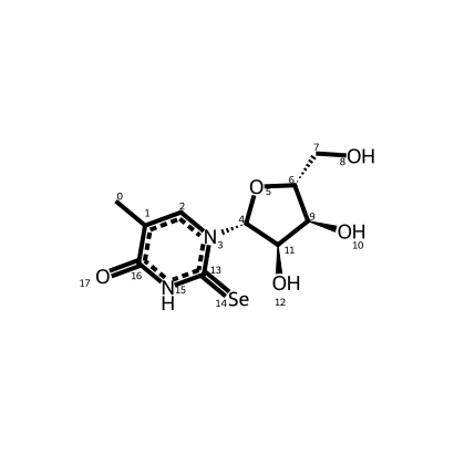 Cc1cn([C@@H]2O[C@H](CO)[C@@H](O)[C@H]2O)c(=[Se])[nH]c1=O